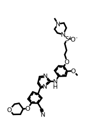 COc1cc(Nc2nccc(-c3ccc(OC4CCOCC4)c(C#N)c3)n2)ccc1OCCC[S+]([O-])N1CCN(C)CC1